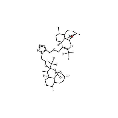 C[C@@H]1CC[C@H]2[C@@H](C)[C@](OCCn3nncc3COCC3=C(C(F)(F)F)O[C@@H]4O[C@]5(C)CCC6[C@H](C)CC[C@@H]3[C@]64OO5)(C(F)(F)F)OC3O[C@]4(C)CCC1[C@]32OO4